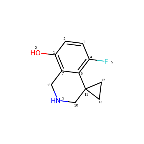 Oc1ccc(F)c2c1CNCC21CC1